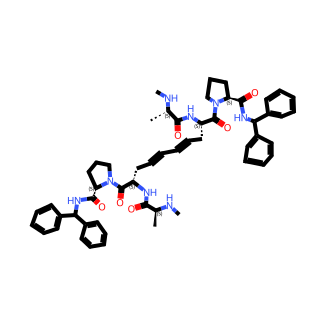 CN[C@@H](C)C(=O)N[C@@H](CC#CC#CC[C@H](NC(=O)[C@H](C)NC)C(=O)N1CCC[C@H]1C(=O)NC(c1ccccc1)c1ccccc1)C(=O)N1CCC[C@H]1C(=O)NC(c1ccccc1)c1ccccc1